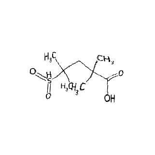 CC(C)(CC(C)(C)[SH](=O)=O)C(=O)O